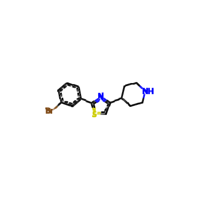 Brc1cccc(-c2nc(C3CCNCC3)cs2)c1